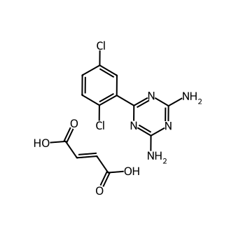 Nc1nc(N)nc(-c2cc(Cl)ccc2Cl)n1.O=C(O)C=CC(=O)O